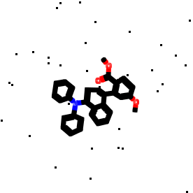 COC(=O)c1ccc(OC)cc1-c1ccc(N(c2ccccc2)c2ccccc2)c2ccccc12